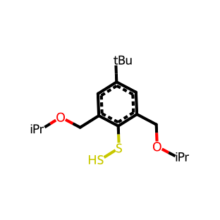 CC(C)OCc1cc(C(C)(C)C)cc(COC(C)C)c1SS